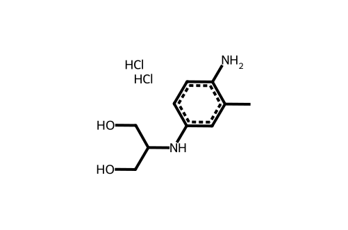 Cc1cc(NC(CO)CO)ccc1N.Cl.Cl